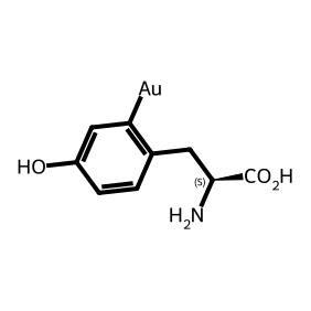 N[C@@H](Cc1ccc(O)c[c]1[Au])C(=O)O